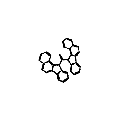 C=C(C1c2ccccc2-c2ccc3ccccc3c21)C1c2ccccc2-c2ccc3ccccc3c21